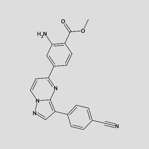 COC(=O)c1ccc(-c2ccn3ncc(-c4ccc(C#N)cc4)c3n2)cc1N